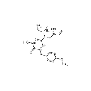 CCC(C)C(CN(O)C=O)C(=O)N[C@@H](Cc1ccc(OC)cc1)C(=O)NC